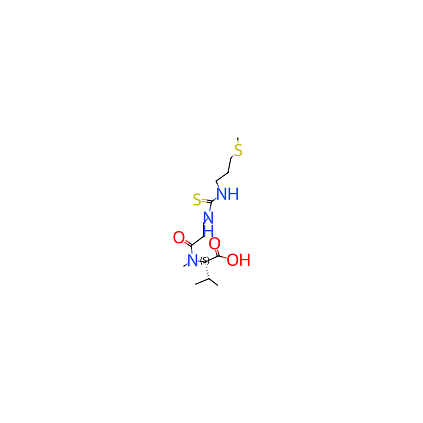 CSCCCNC(=S)NCCC(=O)N(C)[C@H](C(=O)O)C(C)C